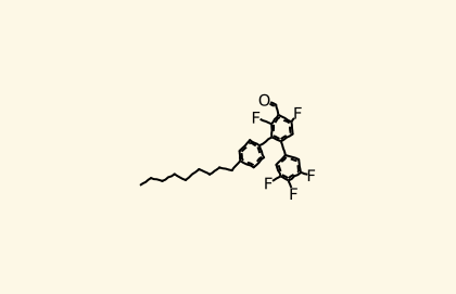 CCCCCCCCCc1ccc(-c2c(-c3cc(F)c(F)c(F)c3)cc(F)c(C=O)c2F)cc1